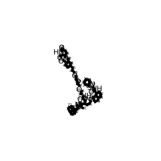 Cc1c(-c2ccc(N3CCc4cccc(C(=O)Nc5nc6ccccc6s5)c4C3)nc2C(=O)NCCOCCOCCOCCCc2ccc3c(c2)CN(C2CCC(=O)NC2=O)C3=O)cnn1CC12CC3CC(CC(C3)C1)C2